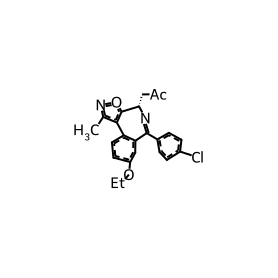 CCOc1ccc2c(c1)C(c1ccc(Cl)cc1)=N[C@@H](CC(C)=O)c1onc(C)c1-2